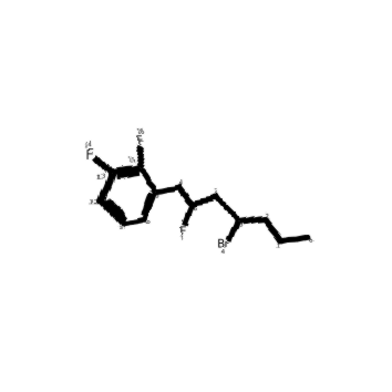 CCCC(Br)CC(F)Cc1cccc(F)c1F